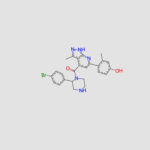 Cc1cc(O)ccc1-c1cc(C(=O)N2CCNCC2c2ccc(Br)cc2)c2c(C)n[nH]c2n1